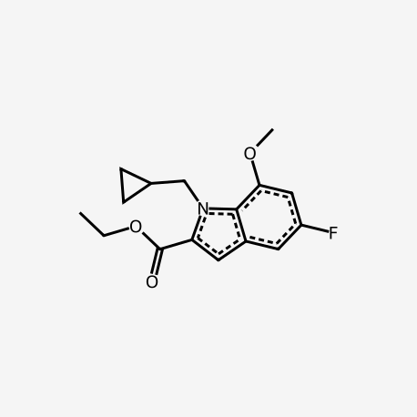 CCOC(=O)c1cc2cc(F)cc(OC)c2n1CC1CC1